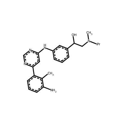 Cc1c(N)cccc1-c1cc(Nc2cccc(C(O)CN(C)C(C)C)c2)ncn1